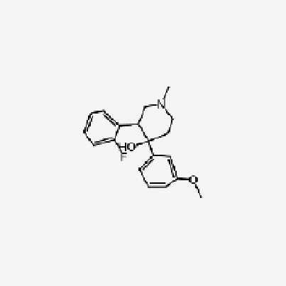 COc1cccc([C@@]2(O)CCN(C)C[C@@H]2c2ccccc2F)c1